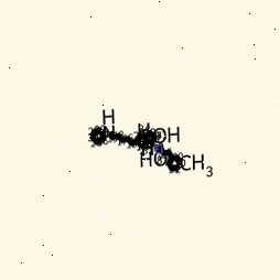 Cc1cccc(C[C@H](O)/C=C/[C@@H]2[C@H]3CC(CCCCCNc4ccccc4)=C[C@H]3C[C@H]2O)c1